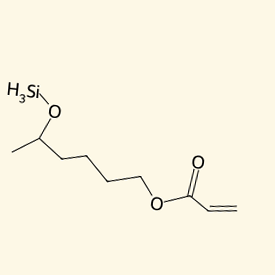 C=CC(=O)OCCCCC(C)O[SiH3]